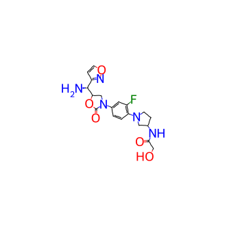 N[C@@H](c1ccon1)C1CN(c2ccc(N3CCC(NC(=O)CO)C3)c(F)c2)C(=O)O1